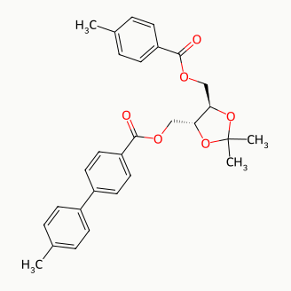 Cc1ccc(C(=O)OC[C@H]2OC(C)(C)O[C@@H]2COC(=O)c2ccc(-c3ccc(C)cc3)cc2)cc1